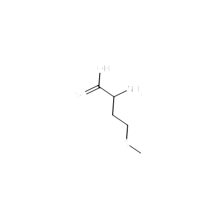 CSCCC(N)C(O)=[Se]